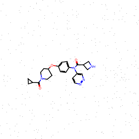 O=C(C1CC1)N1CCC(Oc2ccc(N(C(=O)C3CNC3)c3ccnnc3)cc2)CC1